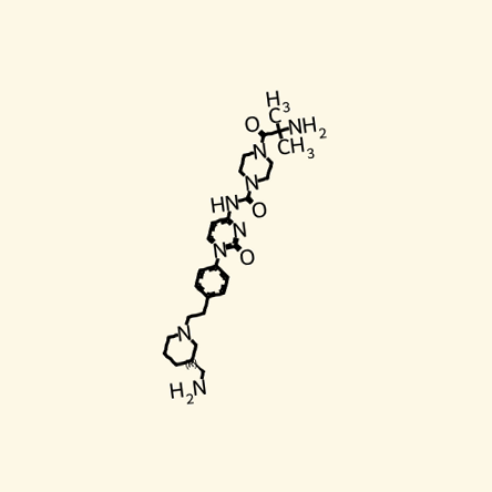 CC(C)(N)C(=O)N1CCN(C(=O)Nc2ccn(-c3ccc(CCN4CCC[C@H](CN)C4)cc3)c(=O)n2)CC1